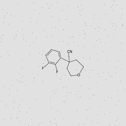 N#CC1(c2cccc(F)c2F)CCOCC1